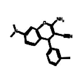 Cc1cccc(C2C(C#N)=C(N)Oc3cc(N(C)C)ccc32)c1